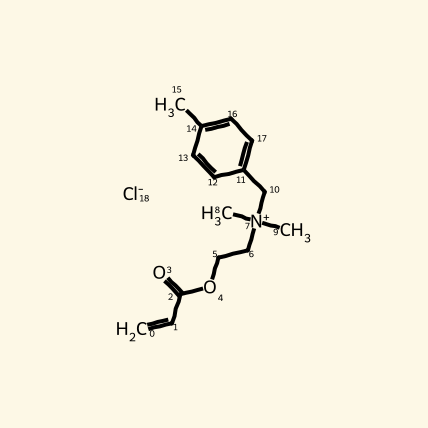 C=CC(=O)OCC[N+](C)(C)Cc1ccc(C)cc1.[Cl-]